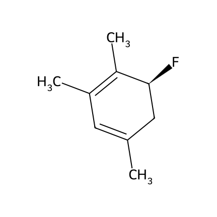 CC1=CC(C)=C(C)[C@@H](F)C1